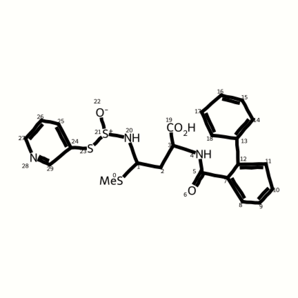 CSC(CC(NC(=O)c1ccccc1-c1ccccc1)C(=O)O)N[S+]([O-])Sc1cccnc1